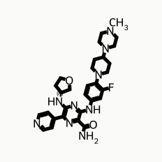 CN1CCN(C2CCN(c3ccc(Nc4nc(N[C@@H]5CCOC5)c(-c5ccncc5)nc4C(N)=O)cc3F)CC2)CC1